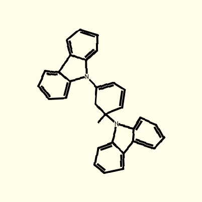 CC1(n2c3ccccc3c3ccccc32)C=CC=C(n2c3ccccc3c3ccccc32)C1